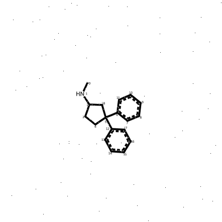 CNC1CCC(c2ccccc2)(c2ccccc2)C1